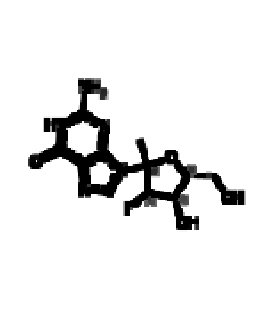 C[C@@]1(n2cnc3c(=O)[nH]c(N)nc32)O[C@H](CO)[C@@H](O)[C@H]1F